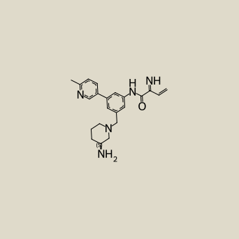 C=CC(=N)C(=O)Nc1cc(CN2CCC[C@H](N)C2)cc(-c2ccc(C)nc2)c1